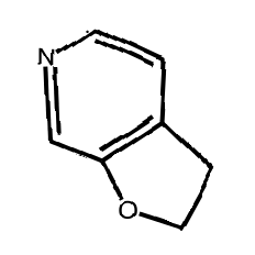 [c]1cc2c(cn1)OCC2